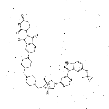 CC1(Oc2ccc3[nH]nc(-c4cc(N5C[C@@H]6C(CN7CCN(CC8CCN(c9ccc%10c(c9)C(=O)N(C9CCC(=O)NC9=O)C%10=O)CC8)CC7)[C@@H]6C5)ncn4)c3c2)CC1